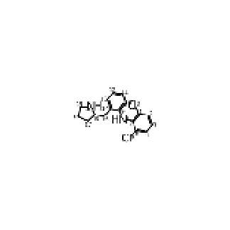 Clc1cccc(Cl)c1Nc1ccccc1CC1CCCN1